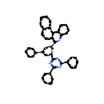 c1ccc(-c2cc(-c3nc(-c4ccccc4)nc(-c4ccccc4)n3)cc(-c3nc4ccccc4c4c3ccc3ccccc34)c2)cc1